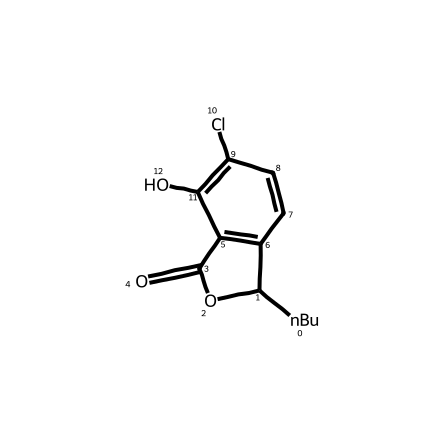 CCCCC1OC(=O)c2c1ccc(Cl)c2O